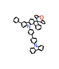 c1ccc(-c2ccc3c(c2)c2ccc4c(c2n3-c2ccc(-c3ccc(-n5c6ccccc6c6ccccc65)cc3)cc2)-c2ccccc2C42c3ccccc3Oc3ccccc32)cc1